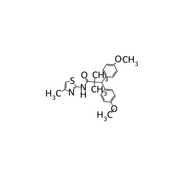 COc1ccc(C(c2ccc(OC)cc2)C(C)(C)C(=O)Nc2nc(C)cs2)cc1